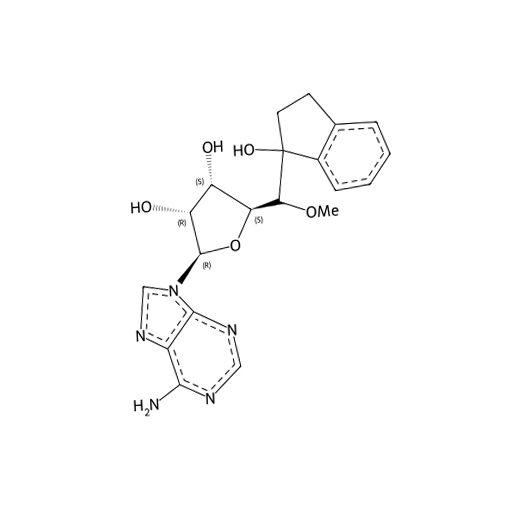 COC([C@H]1O[C@@H](n2cnc3c(N)ncnc32)[C@H](O)[C@@H]1O)C1(O)CCc2ccccc21